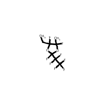 CCC1(F)OC(F)(C(F)(F)C(F)(F)F)OC1(C)F